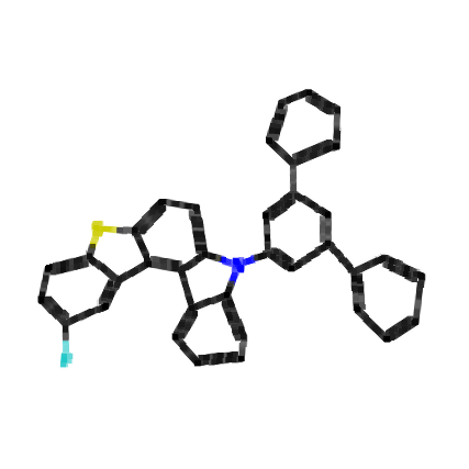 Fc1ccc2sc3ccc4c(c5ccccc5n4-c4cc(-c5ccccc5)cc(-c5ccccc5)c4)c3c2c1